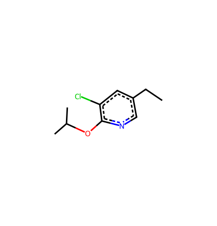 CCc1cnc(OC(C)C)c(Cl)c1